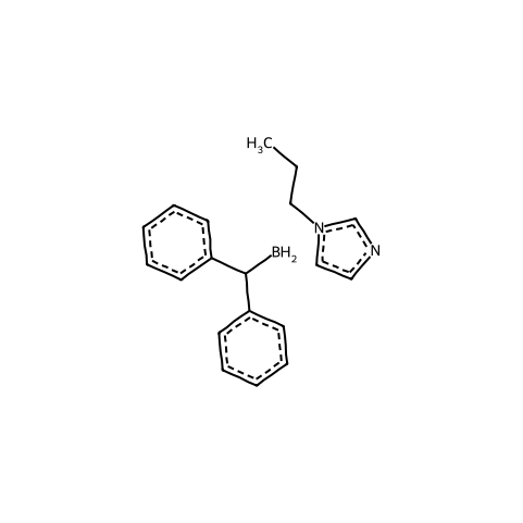 BC(c1ccccc1)c1ccccc1.CCCn1ccnc1